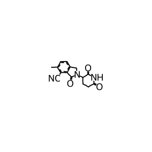 Cc1ccc2c(c1C#N)C(=O)N(C1CCC(=O)NC1=O)C2